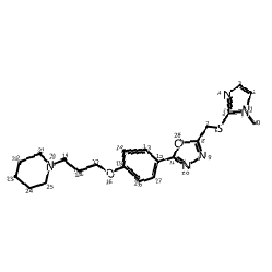 Cn1ccnc1SCc1nnc(-c2ccc(OCCCN3CCCCC3)cc2)o1